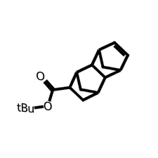 CC(C)(C)OC(=O)C1CC2CC1C1C3C=CC(C3)C21